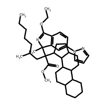 CCCCCC(C)CC(C(=O)OC)(C1CCC2CCC3C4CCCCC4CCC3C21)C1(C)N=C(OCC)c2ccc(-n3cccn3)cc21